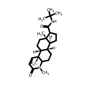 CN1C(=O)C=C[C@@]2(C)C1CC[C@@H]1[C@H]2CC[C@]2(C)C(C(=O)NC(C)(C)C)CC[C@@H]12